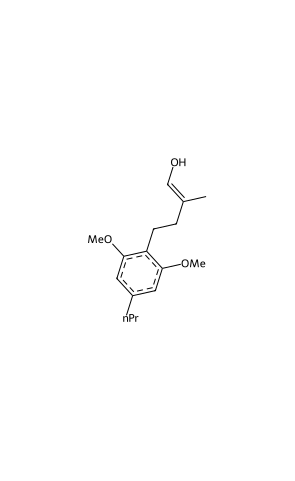 CCCc1cc(OC)c(CCC(C)=CO)c(OC)c1